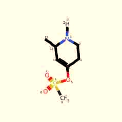 [2H]N1CCC(OS(=O)(=O)C(F)(F)F)=CC1C